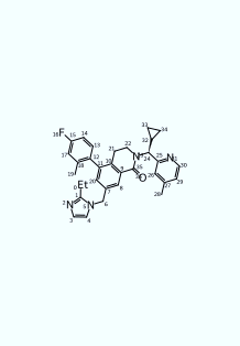 CCc1nccn1Cc1cc2c(c(-c3ccc(F)cc3C)c1)CCN([C@H](c1cc(C)ccn1)C1CC1)C2=O